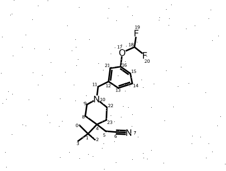 CC(C)(C)C1(CC#N)CCN(Cc2cccc(OC(F)F)c2)CC1